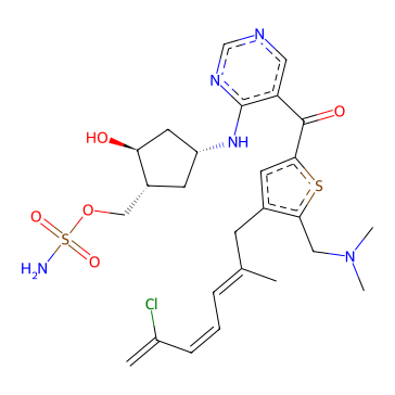 C=C(Cl)/C=C\C=C(/C)Cc1cc(C(=O)c2cncnc2N[C@@H]2C[C@H](COS(N)(=O)=O)[C@@H](O)C2)sc1CN(C)C